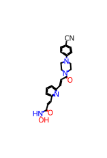 N#Cc1ccc(N2CCN(C(=O)/C=C/c3cccc(/C=C/C(=O)NO)n3)CC2)cc1